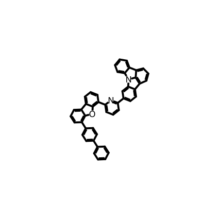 c1ccc(-c2ccc(-c3cccc4c3oc3c(-c5cccc(-c6ccc7c8cccc9c%10ccccc%10n(c7c6)c98)n5)cccc34)cc2)cc1